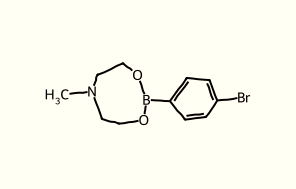 CN1CCOB(c2ccc(Br)cc2)OCC1